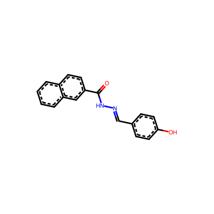 O=C(NN=Cc1ccc(O)cc1)c1ccc2ccccc2c1